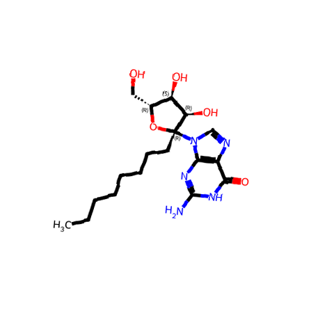 CCCCCCCC[C@@]1(n2cnc3c(=O)[nH]c(N)nc32)O[C@H](CO)[C@@H](O)[C@H]1O